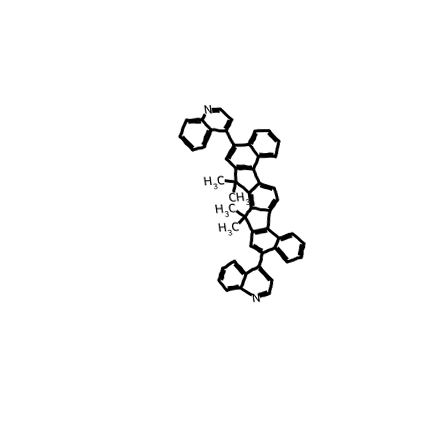 CC1(C)c2cc(-c3ccnc4ccccc34)c3ccccc3c2-c2ccc3c(c21)C(C)(C)c1cc(-c2ccnc4ccccc24)c2ccccc2c1-3